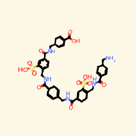 NCC1C=CC(C(=O)NCC2=C(S(=O)(=O)O)C=C(C(=O)NCC3=CCC(C(=O)NCc4ccc(C(=O)NCC5C=CC(C(=O)O)=CC5)cc4S(=O)(=O)O)C=C3)CC2)=CC1